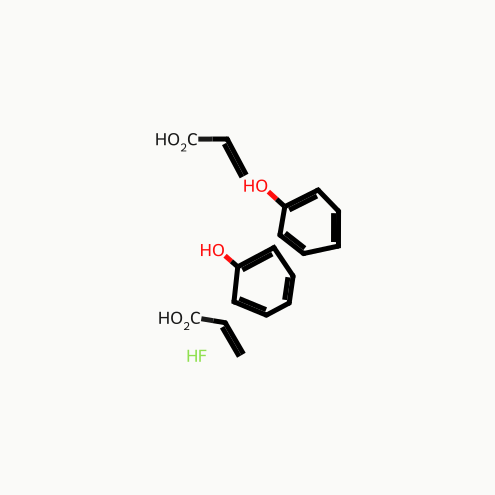 C=CC(=O)O.C=CC(=O)O.F.Oc1ccccc1.Oc1ccccc1